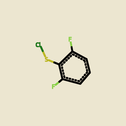 Fc1cccc(F)c1SCl